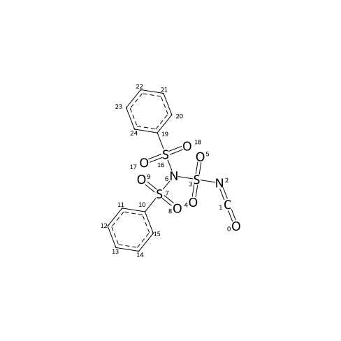 O=C=NS(=O)(=O)N(S(=O)(=O)c1ccccc1)S(=O)(=O)c1ccccc1